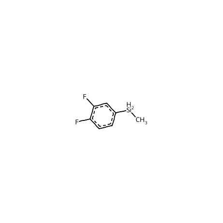 C[SiH2]c1ccc(F)c(F)c1